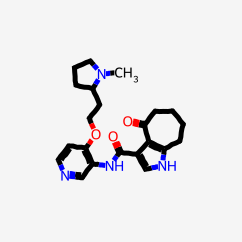 CN1CCCC1CCOc1ccncc1NC(=O)c1c[nH]c2c1C(=O)CCCC2